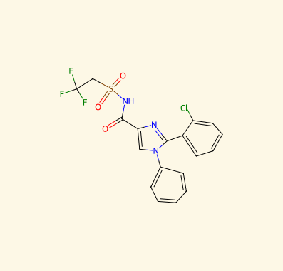 O=C(NS(=O)(=O)CC(F)(F)F)c1cn(-c2ccccc2)c(-c2ccccc2Cl)n1